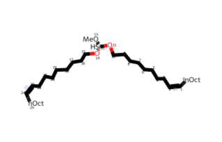 CCCCCCCC/C=C\CCCCCCCCO[SiH](OC)OCCCCCCCC/C=C\CCCCCCCC